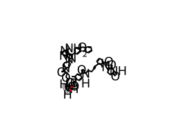 Cc1cc(C(=O)NCCC#Cc2cccc3c2CN(C2CCC(=O)NC2=O)C3=O)ccc1B1O[C@H]2C[C@H]3C[C@H](C3(C)C)[C@@]2(CCOCC(=O)N2CCC(n3nc(-c4ccc(Oc5ccccc5)cc4)c4c(N)ncnc43)CC2)O1